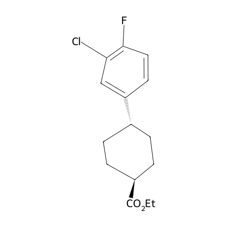 CCOC(=O)[C@H]1CC[C@H](c2ccc(F)c(Cl)c2)CC1